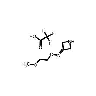 COCCON=C1CNC1.O=C(O)C(F)(F)F